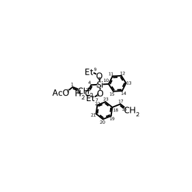 C=COC(C)=O.C=C[Si](OCC)(OCC)c1ccccc1.C=Cc1ccccc1